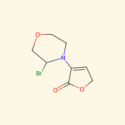 O=C1OCC=C1N1CCOCC1Br